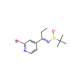 CC/C(=N\[S+]([O-])C(C)(C)C)c1ccnc(Br)c1